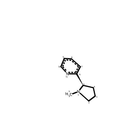 CN1CCC[C@@H]1c1ccccn1